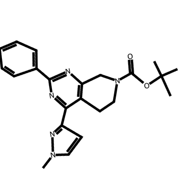 Cn1ccc(-c2nc(-c3ccccc3)nc3c2CCN(C(=O)OC(C)(C)C)C3)n1